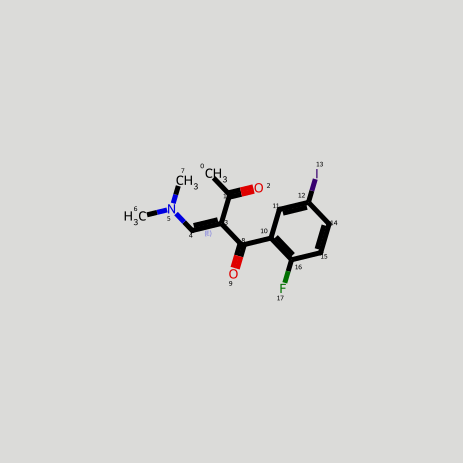 CC(=O)/C(=C\N(C)C)C(=O)c1cc(I)ccc1F